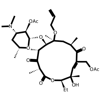 C=CCO[C@@]1(C)C[C@@H](C)C(=O)/C(COC(C)=O)=C/[C@](C)(O)[C@@H](CC)OC(=O)[C@H](C)C(=O)[C@H](C)[C@H]1O[C@@H]1O[C@H](C)C[C@H](N(C)C)[C@H]1OC(C)=O